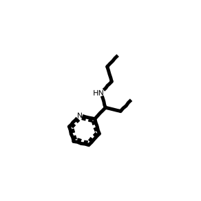 CCCNC(CC)c1ccccn1